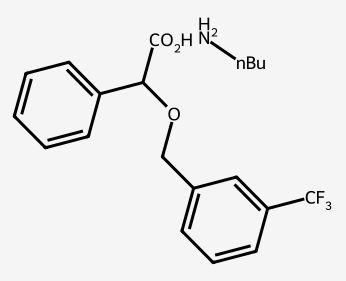 CCCCN.O=C(O)C(OCc1cccc(C(F)(F)F)c1)c1ccccc1